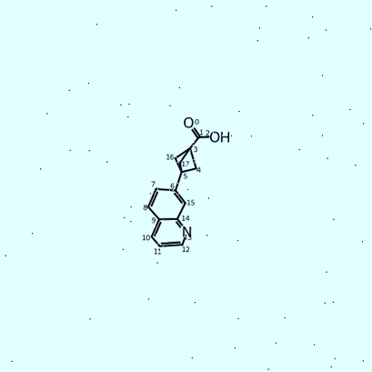 O=C(O)C12CC(c3ccc4cccnc4c3)(C1)C2